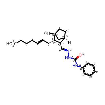 O=C(O)CCCC=CC[C@@H]1[C@@H]2CC[C@H](C2)[C@H]1C=NNC(=O)Nc1ccccc1